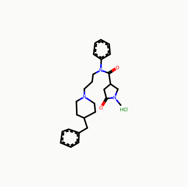 CN1CC(C(=O)N(CCCN2CCC(Cc3ccccc3)CC2)c2ccccc2)CC1=O.Cl